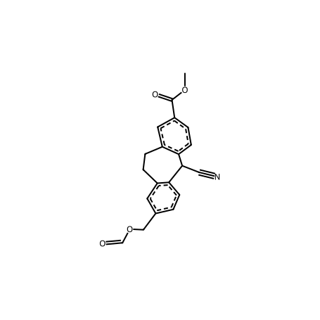 COC(=O)c1ccc2c(c1)CCc1cc(COC=O)ccc1C2C#N